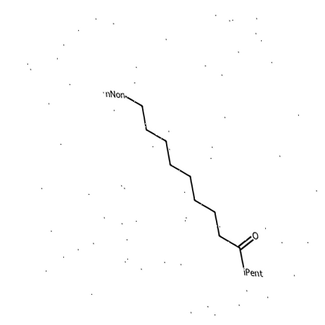 CCCCCCCCCCCCCCCCCC(=O)C(C)CCC